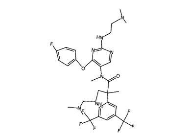 CN(C)CCNc1ncc(N(C)C(=O)C(C)(CC(N)CN(C)C)c2cc(C(F)(F)F)cc(C(F)(F)F)c2)c(Oc2ccc(F)cc2)n1